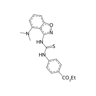 CCOC(=O)c1ccc(NC(=S)Nc2noc3cccc(N(C)C)c23)cc1